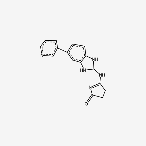 O=C1CCC(NC2Nc3ccc(-c4cccnc4)cc3N2)=N1